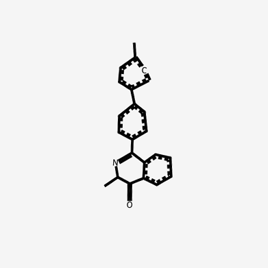 Cc1ccc(-c2ccc(C3=NC(C)C(=O)c4ccccc43)cc2)cc1